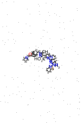 Cc1c(Nc2nc3ccccc3s2)nnc2c1CCCN2c1ccc(-c2cnn(CC34CC5CC6(OCCN7CCCC7)CC(C3)C6(C5)C4)c2C)c(C(=O)O)n1